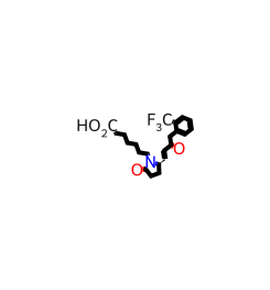 O=C(O)CCCCCCN1C(=O)CC[C@H]1C=CC(=O)Cc1ccccc1C(F)(F)F